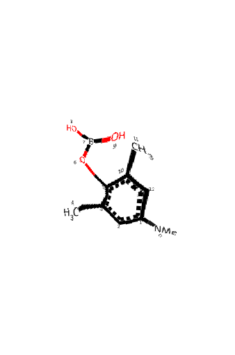 CNc1cc(C)c(OB(O)O)c(C)c1